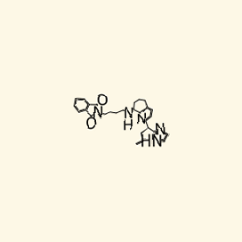 C=CC[C@@H](c1ccc2c(n1)C(NCCCCN1C(=O)c3ccccc3C1=O)CCC2)c1ncc[nH]1